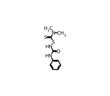 CN(C)C(=S)SNC(=O)Nc1ccccc1